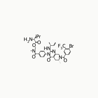 C=C[C@H](C)Nc1nc2c(c(=O)n1-c1ccc(C(=O)N(C)COC(=O)[C@@H](N)C(C)C)cc1)C[C@@H](C)N(C(=O)c1ccc(Br)c(C(F)(F)F)c1)C2